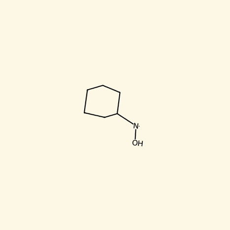 O[N]C1CCCCC1